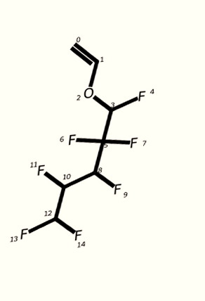 C=COC(F)C(F)(F)C(F)C(F)C(F)F